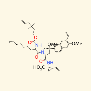 C=CCCCCCC(NC(=O)OCCC(C)(C)CC=C)C(=O)N1C[C@](OC)(c2ccc3cc(OC)c(C=C)cc3c2)C[C@H]1C(=O)NC1(C(=O)O)CC1C=C